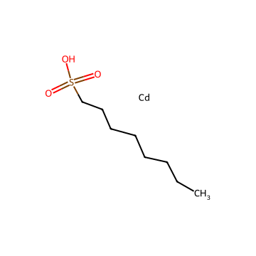 CCCCCCCCS(=O)(=O)O.[Cd]